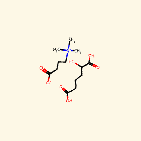 C[N+](C)(C)CCCC(=O)[O-].O=C(O)CCCC(O)C(=O)O